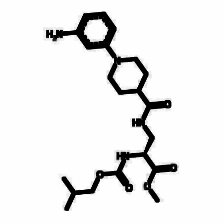 COC(=O)[C@H](CNC(=O)C1CCN(c2cccc(N)c2)CC1)NC(=O)OCC(C)C